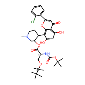 CN1CCC(c2c(O)cc(O)c3c(=O)cc(-c4ccccc4Cl)oc23)C(OC(=O)[C@H](CO[Si](C)(C)C(C)(C)C)NC(=O)OC(C)(C)C)C1